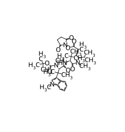 C/C(=C\C(C(C)C)N(C)C(=O)[C@@H](NC(=O)[C@@H](N(C)C(=O)OC(C)(C)C)C(C)(C)c1cn(C)c2ccccc12)C(C)(C)C)C(=O)ON1C(=O)CCC1=O